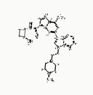 CNc1cc(-c2cn(CCN3CCN(C)CC3)c3ncccc23)nc2c(C(=O)N[C@H]3CC[C@@H]3O)cnn12